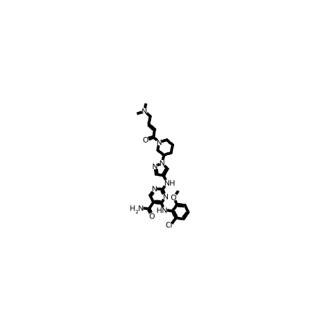 COc1cccc(Cl)c1Nc1nc(Nc2cnn(C3CCCN(C(=O)C=CCN(C)C)C3)c2)ncc1C(N)=O